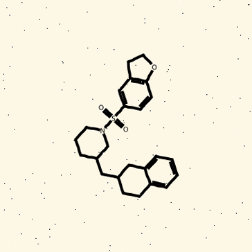 O=S(=O)(c1ccc2c(c1)CCO2)N1CCCC(CC2CCc3ccccc3C2)C1